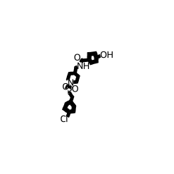 O=C(NCC1CCN(S(=O)(=O)CCc2ccc(Cl)cc2)CC1)c1ccc(O)cc1